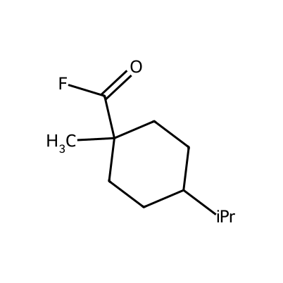 CC(C)C1CCC(C)(C(=O)F)CC1